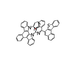 c1ccc(-n2c3ccccc3c3c4ccccc4c4c5ccccc5n(-c5nc(-c6cc7ccccc7c7c6sc6ccccc67)c6ccccc6n5)c4c32)cc1